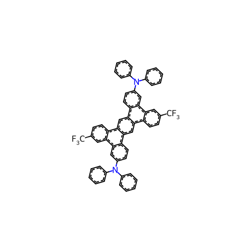 FC(F)(F)c1ccc2c(c1)c1cc(N(c3ccccc3)c3ccccc3)ccc1c1cc3c4ccc(C(F)(F)F)cc4c4cc(N(c5ccccc5)c5ccccc5)ccc4c3cc21